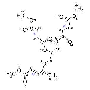 C=C(/C=C/C(=O)OC)OCC(COC(=O)/C=C/C(=O)OC)OC(=O)/C=C/C(=O)OC